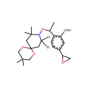 CCC1(CC)CC2(CC(C)(C)N1OC(C)c1ccc(C3CO3)cc1OC)OCC(C)(C)CO2